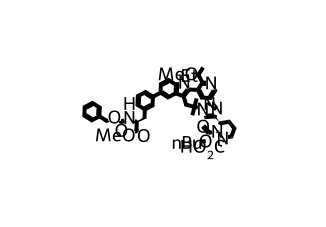 CCCCOC(=O)N1[C@H](c2cn(C(C)(C)Cc3c(-c4cccnc4[C@H](C)OC)n(CC)c4ccc(-c5cccc(C[C@H](NC(=O)OCc6ccccc6)C(=O)OC)c5)cc34)nn2)CCCN1C(=O)O